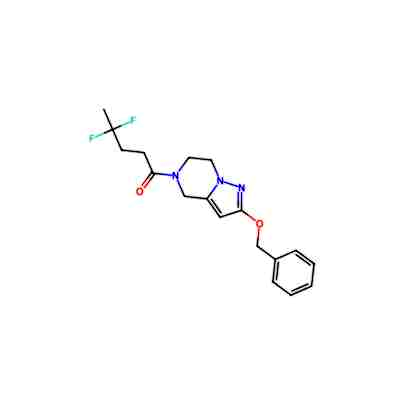 CC(F)(F)CCC(=O)N1CCn2nc(OCc3ccccc3)cc2C1